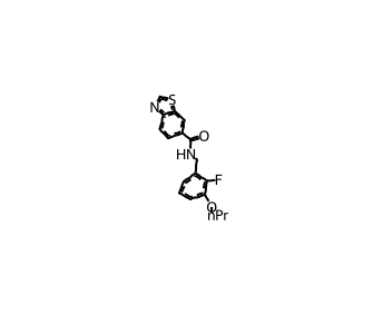 CCCOc1cccc(CNC(=O)c2ccc3ncsc3c2)c1F